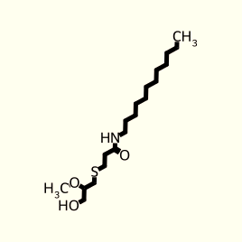 CCCCCCCCCCCCNC(=O)CCSCC(CO)OC